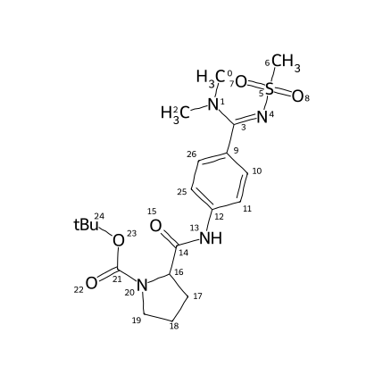 CN(C)C(=NS(C)(=O)=O)c1ccc(NC(=O)C2CCCN2C(=O)OC(C)(C)C)cc1